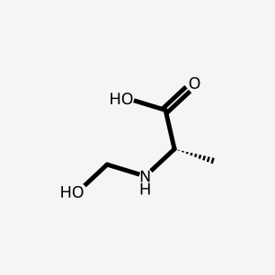 C[C@H](NCO)C(=O)O